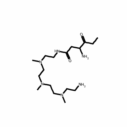 CCC(=O)C(N)CC(=O)NCCN(C)CCN(C)CCN(C)CCN